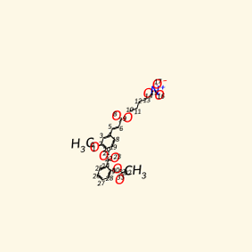 COc1cc(C=CC(=O)OCCCCO[N+](=O)[O-])ccc1OC(=O)c1ccccc1OC(C)=O